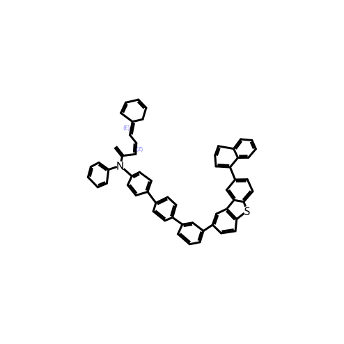 C=C(/C=C\C=C1\C=CC=CC1)N(c1ccccc1)c1ccc(-c2ccc(-c3cccc(-c4ccc5sc6ccc(-c7cccc8ccccc78)cc6c5c4)c3)cc2)cc1